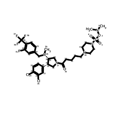 CN(C)OS(=O)(=O)N1CCN(CCCCC(=O)N2C[C@H](c3ccc(Cl)c(Cl)c3)[C@H](N(C)Cc3ccc(C(F)(F)F)c(F)c3)C2)CC1